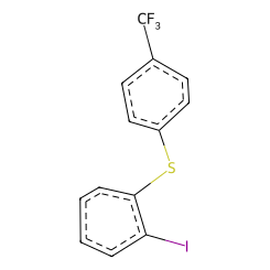 FC(F)(F)c1ccc(Sc2ccccc2I)cc1